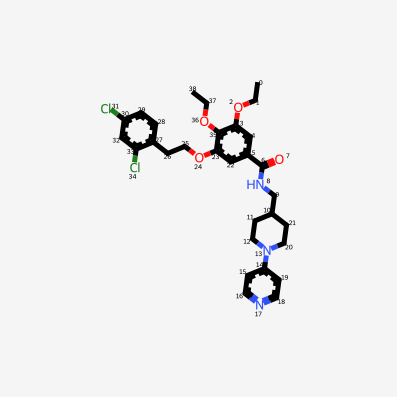 CCOc1cc(C(=O)NCC2CCN(c3ccncc3)CC2)cc(OCCc2ccc(Cl)cc2Cl)c1OCC